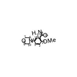 COc1ccc(N2CCOCC2)cc1C(N)=O